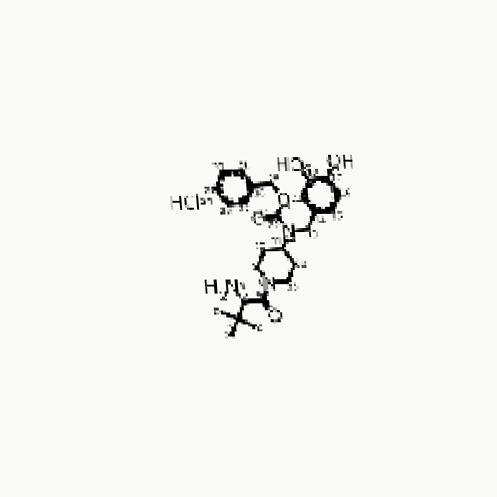 CC(C)(C)[C@H](N)C(=O)N1CCC(N(Cc2ccc(O)c(O)c2)C(=O)OCc2ccccc2)CC1.Cl